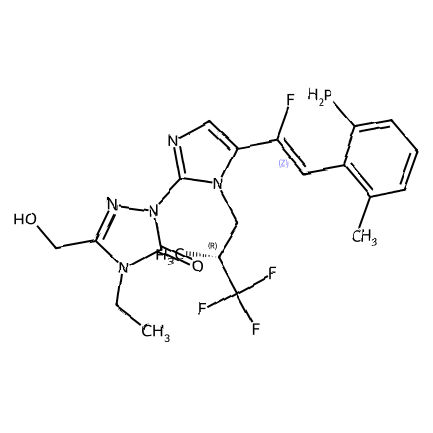 CCn1c(CO)nn(-c2ncc(/C(F)=C/c3c(C)cccc3P)n2C[C@@H](C)C(F)(F)F)c1=O